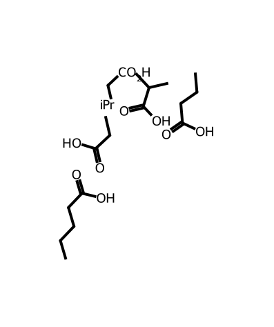 CC(C)C(=O)O.CC(C)CC(=O)O.CCC(=O)O.CCCC(=O)O.CCCCC(=O)O